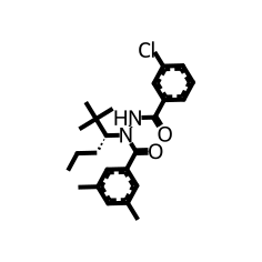 CCC[C@@H](N(NC(=O)c1cccc(Cl)c1)C(=O)c1cc(C)cc(C)c1)C(C)(C)C